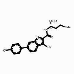 CCCc1c(C(=O)N[C@@H](CCSC)C(=O)OCC)oc2cc(-c3ccc(Cl)cc3)ccc12